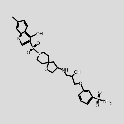 Cc1ccc2c(O)c(S(=O)(=O)N3CCC4(CC3)CC(NCC(O)COc3cccc(S(N)(=O)=O)c3)CO4)cnc2c1